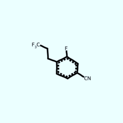 N#Cc1ccc(CCC(F)(F)F)c(F)c1